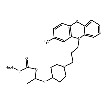 CCCCCCCOC(=O)OC(C)OC1CCN(CCCN2c3ccccc3Sc3ccc(C(F)(F)F)cc32)CC1